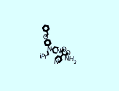 CC(C)CCN(c1ccc(OCc2ccccc2)cc1)C1CCN(C(=O)C(C(N)=O)c2ccncc2)CC1